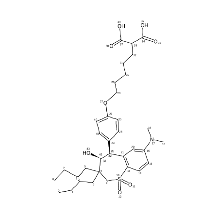 CCCCC1(CCCC)CS(=O)(=O)c2ccc(N(C)C)cc2[C@H](c2ccc(OCCCCCC(C(=O)O)C(=O)O)cc2)[C@@H]1O